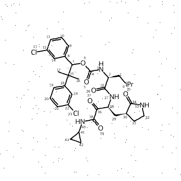 CC(C)C[C@H](NC(=O)OC(c1cccc(Cl)c1)C(C)(C)c1cccc(Cl)c1)C(=O)N[C@@H](C[C@@H]1CCNC1=O)C(=O)C(=O)NC1CC1